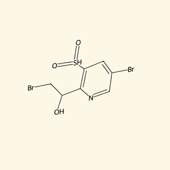 O=[SH](=O)c1cc(Br)cnc1C(O)CBr